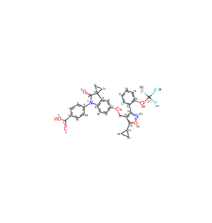 O=C(O)c1ccc(N2C(=O)C3(CC3)c3cc(OCc4c(-c5ccccc5OC(F)(F)F)noc4C4CC4)ccc32)cc1